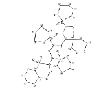 CC(CC(CC(CC(C1CCC2CCCCC2C1(C)C)C1(C)CCCCC1)C1(C)CCCCC1)C1(C)CCCCC1)C1(C)CCCCC1